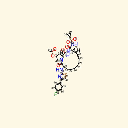 CC(=O)O[C@@H]1C[C@H]2C(=O)N[C@]3(C(=O)NS(=O)(=O)C4CC4)C[C@H]3/C=C\CCCCC[C@H](Nc3nc(-c4ccc(F)cc4)cs3)C(=O)N2C1